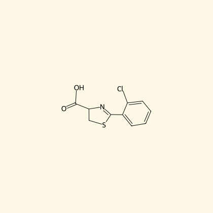 O=C(O)C1CSC(c2ccccc2Cl)=N1